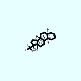 C[C@]12CC=CC[C@@H]1CC[C@@H]1[C@@H]2CC[C@@]2(C)[C@H]1CC[C@@]2(O)C(F)(F)F